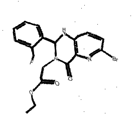 CCOC(=O)CN1C(=O)c2nc(Br)ccc2NC1c1ccccc1F